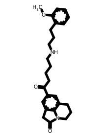 COc1ccccc1CCCNCCCCC(=O)c1cc2c3c(c1)CC(=O)N3CCC2